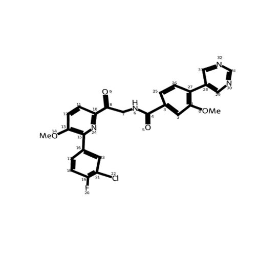 COc1cc(C(=O)NCC(=O)c2ccc(OC)c(-c3ccc(F)c(Cl)c3)n2)ccc1-c1cncnc1